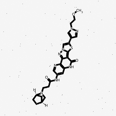 COCCn1cc(-c2cn3nc4c5ncc(NC(=O)CCN6C[C@H]7CC[C@@H]6C7)cc5[nH]c(=O)c4c3s2)cn1